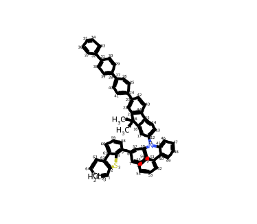 C=Cc1sc2c(-c3cccc(N(c4ccc5c(c4)C(C)(C)c4cc(-c6ccc(-c7ccc(-c8ccccc8)cc7)cc6)ccc4-5)c4ccccc4-c4ccccc4)c3)cccc2c1/C=C\C